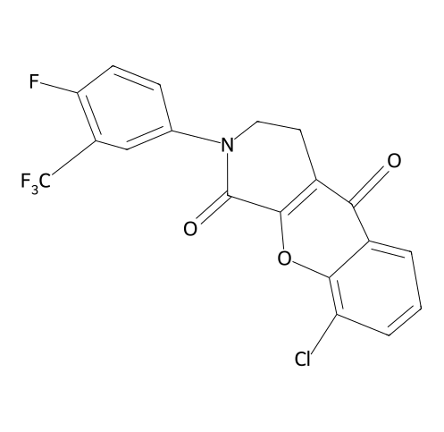 O=C1c2oc3c(Cl)cccc3c(=O)c2CCN1c1ccc(F)c(C(F)(F)F)c1